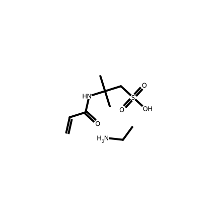 C=CC(=O)NC(C)(C)CS(=O)(=O)O.CCN